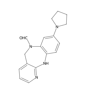 O=CN1Cc2cccnc2Nc2ccc(N3CCCC3)cc21